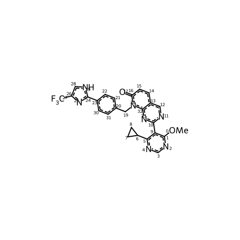 COc1ncnc(C2CC2)c1-c1ncc2ccc(=O)n(Cc3ccc(-c4nc(C(F)(F)F)c[nH]4)cc3)c2n1